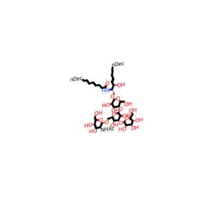 CCCCCCCCCCCCC/C=C/[C@@H](O)[C@H](CO[C@@H]1OC(CO)[C@@H](O[C@@H]2OC(CO[C@@H]3OC(CO)[C@@H](O)[C@H](O)C3NC(C)=O)[C@H](O)[C@H](O[C@H]3OC(CO)[C@H](O)[C@H](O)C3O)C2O)[C@H](O)C1O)NC(=O)CCCCCCCCCCCCCCCCC